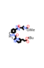 COC(=O)N1CC(c2nc(-c3ccc(C)c(NC(=O)c4cnc5ccc(CCC(=O)OC(C)(C)C)cn45)c3)no2)C1